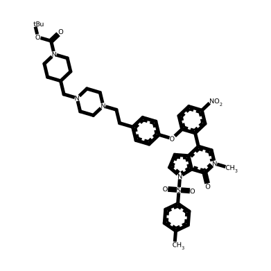 Cc1ccc(S(=O)(=O)n2ccc3c(-c4cc([N+](=O)[O-])ccc4Oc4ccc(CCN5CCN(CC6CCN(C(=O)OC(C)(C)C)CC6)CC5)cc4)cn(C)c(=O)c32)cc1